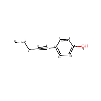 CCCC#Cc1ccc(O)cc1